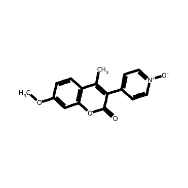 COc1ccc2c(C)c(-c3cc[n+]([O-])cc3)c(=O)oc2c1